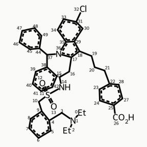 CCN(CC)Cc1ccccc1CS(=O)(=O)NCCc1c(CCCc2ccc(C(=O)O)cc2)c2cc(Cl)ccc2n1C(c1ccccc1)c1ccccc1